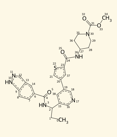 CCC(NC(=O)c1ccc2[nH]ncc2c1)c1cncc(-c2csc(C(=O)NC3CCN(C(=O)OC)CC3)c2)c1